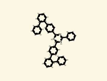 c1ccc(-c2nc(-c3ccc(-c4ccccc4-c4ccccc4)cc3)nc(-c3ccc(-c4ccccc4-c4ccccc4)cc3)n2)cc1